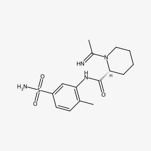 CC(=N)N1CCCC[C@@H]1C(=O)Nc1cc(S(N)(=O)=O)ccc1C